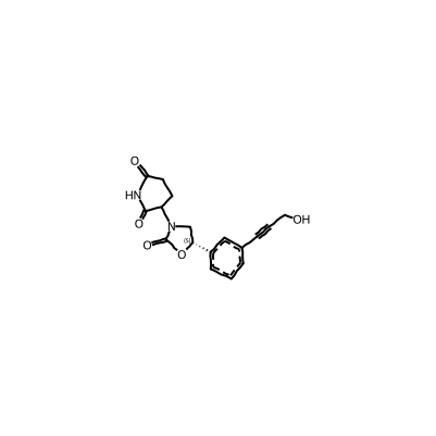 O=C1CCC(N2C[C@H](c3cccc(C#CCO)c3)OC2=O)C(=O)N1